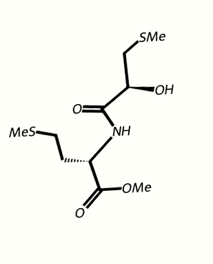 COC(=O)[C@H](CCSC)NC(=O)[C@H](O)CSC